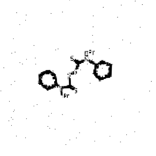 CCCN(C(=S)SSC(=S)N(CCC)c1ccccc1)c1ccccc1